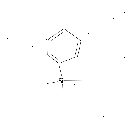 C[Si](C)(C)c1c[c]ccc1